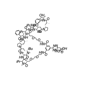 CC[C@H](C)[C@@H]([C@@H](CC(=O)N1CCC[C@H]1C[C@@H](C)C(=O)N[C@H](C)[C@@H](O)c1ccccc1)OC)N(C)C(=O)[C@@H](NC(=O)[C@H](C(C)C)N(C)C(=O)CCOCCOCCNC(=O)c1cc(C(=O)NCCOCCOCCC(=O)N(C)[C@H](C(=O)N[C@H](C(=O)N(C)[C@H](CCC(=O)N2CCC[C@H]2C[C@@H](C)C(=O)N[C@H](C)[C@@H](O)c2ccccc2)[C@@H](C)CC)C(C)C)C(C)C)cc(-c2nnc(CP(=O)(O)O)nn2)c1)C(C)C